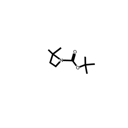 CC(C)(C)OC(=O)N1CCC1(C)C